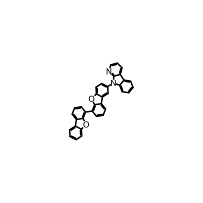 c1ccc2c(c1)oc1c(-c3cccc4c3oc3ccc(-n5c6ccccc6c6cccnc65)cc34)cccc12